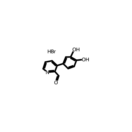 Br.O=Cc1ncccc1-c1ccc(O)c(O)c1